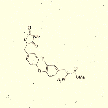 COC(=O)C(N)Cc1ccc(Oc2ccc(CC3OC(=O)NC3=O)cc2)c(F)c1